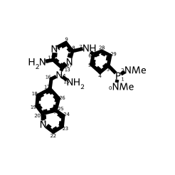 CNP(NC)c1ccc(Nc2cnc(N)c(N(N)Cc3ccc4ncccc4c3)n2)cc1